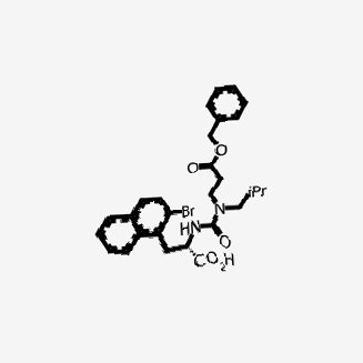 CC(C)CN(CCC(=O)OCc1ccccc1)C(=O)N[C@@H](Cc1c(Br)ccc2ccccc12)C(=O)O